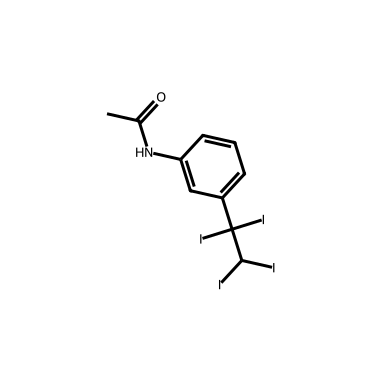 CC(=O)Nc1cccc(C(I)(I)C(I)I)c1